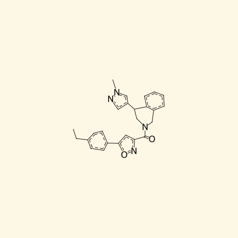 CCc1ccc(-c2cc(C(=O)N3Cc4ccccc4C(c4cnn(C)c4)C3)no2)cc1